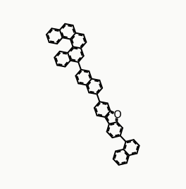 c1ccc2c(-c3ccc4c(c3)oc3cc(-c5ccc6cc(-c7cc8ccc9ccc%10ccccc%10c9c8c8ccccc78)ccc6c5)ccc34)cccc2c1